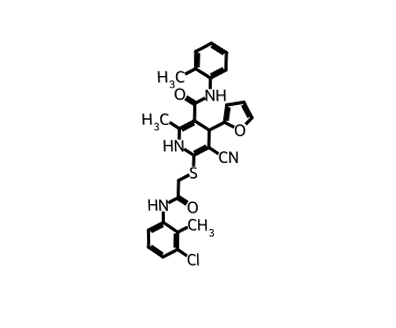 CC1=C(C(=O)Nc2ccccc2C)C(c2ccco2)C(C#N)=C(SCC(=O)Nc2cccc(Cl)c2C)N1